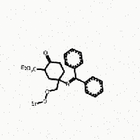 CCOOCC1(N=C(c2ccccc2)c2ccccc2)CCC(=O)C(C(=O)OCC)C1